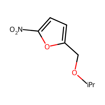 CC(C)OCc1ccc([N+](=O)[O-])o1